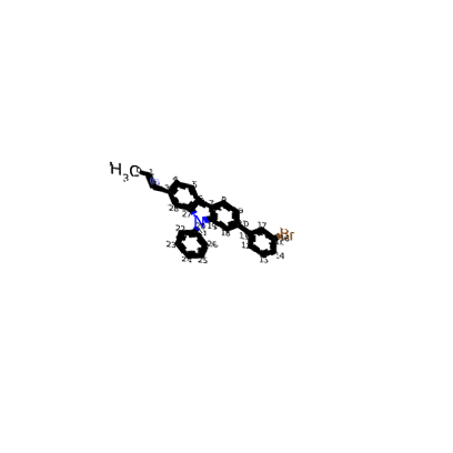 C/C=C/c1ccc2c3ccc(-c4cccc(Br)c4)cc3n(-c3ccccc3)c2c1